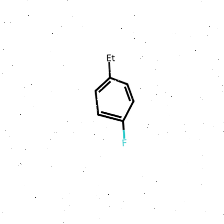 [CH2]Cc1ccc(F)cc1